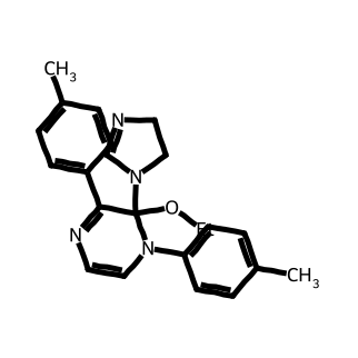 CCOC1(N2C=NCC2)C(c2ccc(C)cc2)=NC=CN1c1ccc(C)cc1